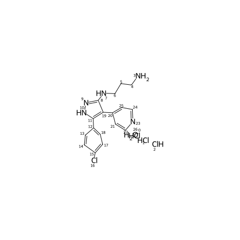 Cl.Cl.Cl.NCCCNc1n[nH]c(-c2ccc(Cl)cc2)c1-c1ccncc1.O